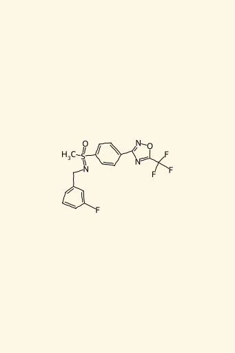 CS(=O)(=NCc1cccc(F)c1)c1ccc(-c2noc(C(F)(F)F)n2)cc1